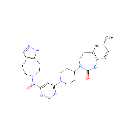 COc1ccc2c(c1)CCN(C1CCN(c3cc(C(=O)N4CCc5cn[nH]c5CC4)ncn3)CC1)C(=O)N2